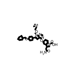 C[Si](C)(C)CCOCn1c(-c2ccc(OCc3ccccc3)cc2)cc2c(Oc3ccc4c(c3)c(CC(N)=O)cn4C(=O)O)ncnc21